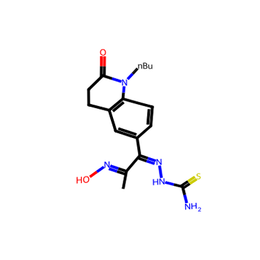 CCCCN1C(=O)CCc2cc(C(=NNC(N)=S)C(C)=NO)ccc21